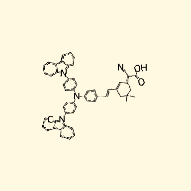 CC1(C)CC(/C=C/c2ccc(N(c3ccc(-n4c5ccccc5c5ccccc54)cc3)c3ccc(-n4c5ccccc5c5ccccc54)cc3)cc2)=CC(=C(\C#N)C(=O)O)/C1